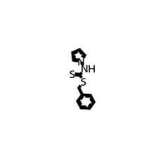 S=C(Nn1cccc1)SCc1ccccc1